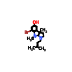 CC(C)=CCN1CCC2(C)c3cc(O)cc(Br)c3N(C)C12